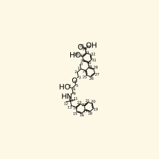 CC(CCOC[C@H](O)CNC(C)(C)Cc1ccc2ccccc2c1)c1ccccc1-c1ccc(C(=O)O)c(O)c1